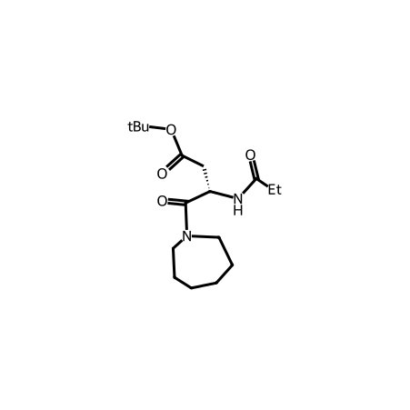 CCC(=O)N[C@@H](CC(=O)OC(C)(C)C)C(=O)N1CCCCCC1